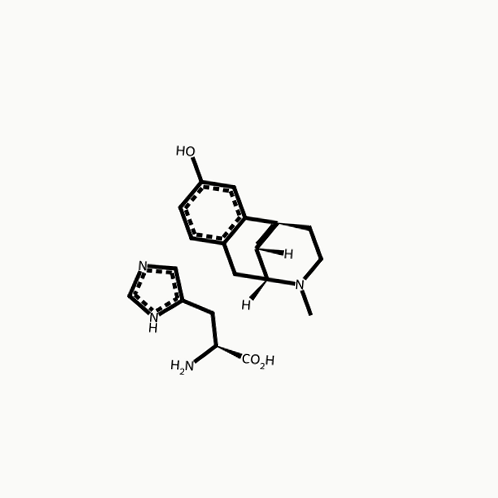 CN1CC[C@]23CCCC[C@H]2[C@H]1Cc1ccc(O)cc13.N[C@@H](Cc1cnc[nH]1)C(=O)O